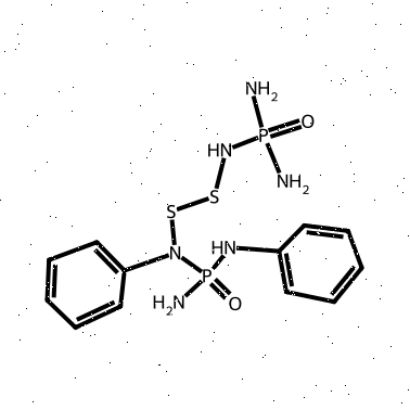 NP(N)(=O)NSSN(c1ccccc1)P(N)(=O)Nc1ccccc1